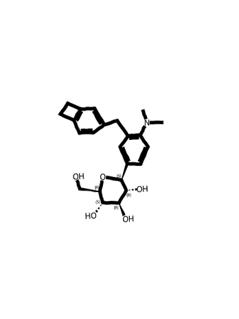 CN(C)c1ccc([C@@H]2O[C@H](CO)[C@@H](O)[C@H](O)[C@H]2O)cc1Cc1ccc2c(c1)CC2